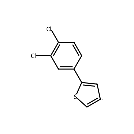 Clc1ccc(-c2c[c]cs2)cc1Cl